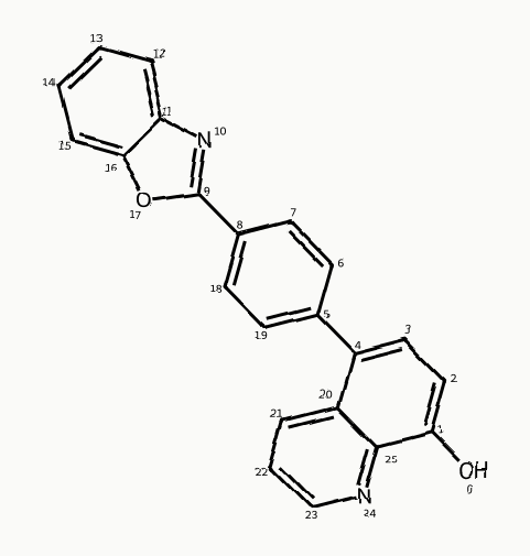 Oc1ccc(-c2ccc(-c3nc4ccccc4o3)cc2)c2cccnc12